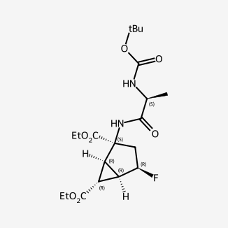 CCOC(=O)[C@H]1[C@H]2[C@@H]1[C@](NC(=O)[C@H](C)NC(=O)OC(C)(C)C)(C(=O)OCC)C[C@H]2F